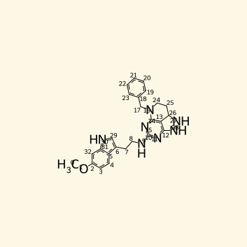 COc1ccc2c(CCNc3nc4c5c(n3)N(Cc3ccccc3)CCC5NN4)c[nH]c2c1